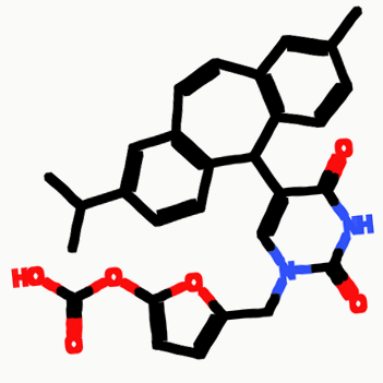 Cc1ccc2c(c1)C=Cc1cc(C(C)C)ccc1C2c1cn(Cc2ccc(OC(=O)O)o2)c(=O)[nH]c1=O